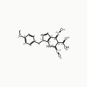 COc1ccc(Cn2ncc3c2NC(=C=O)C(C(=O)O)C3=C=O)cc1